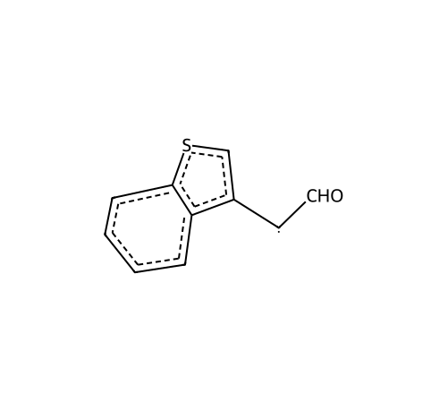 O=C[CH]c1csc2ccccc12